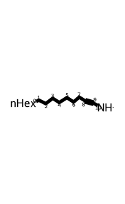 CCCCCCCCCCCCCC#C[NH]